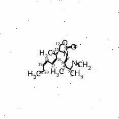 C=NC(C)[C@H](C)/C=C/N1C(=O)OC[C@@H]1C(C)/C=C\C=C/CC